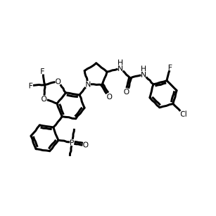 CP(C)(=O)c1ccccc1-c1ccc(N2CCC(NC(=O)Nc3ccc(Cl)cc3F)C2=O)c2c1OC(F)(F)O2